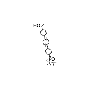 CC(O)c1ccc(N2CCN(c3ccc(B4OC(C)(C)C(C)(C)O4)cc3)CC2)cc1